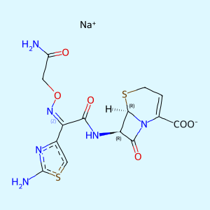 NC(=O)CO/N=C(\C(=O)N[C@@H]1C(=O)N2C(C(=O)[O-])=CCS[C@H]12)c1csc(N)n1.[Na+]